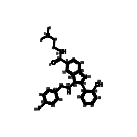 CN(C)CCNC(=O)c1ccc2nc(-c3ccccc3O)c(NCc3ccc(F)cc3)n2c1